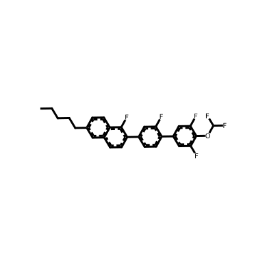 CCCCCc1ccc2c(F)c(-c3ccc(-c4cc(F)c(OC(F)F)c(F)c4)c(F)c3)ccc2c1